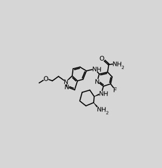 COCCn1ncc2cc(Nc3nc(N[C@@H]4CCCC[C@@H]4N)c(F)cc3C(N)=O)ccc21